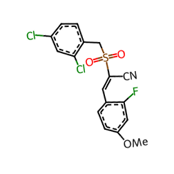 COc1ccc(/C=C(\C#N)S(=O)(=O)Cc2ccc(Cl)cc2Cl)c(F)c1